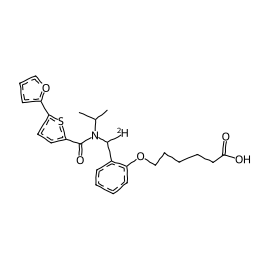 [2H]C(c1ccccc1OCCCCCC(=O)O)N(C(=O)c1ccc(-c2ccco2)s1)C(C)C